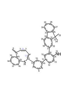 C=C1/C=C\C=C(\c2cccc(-c3ccc(N)c(-c4ccc5c(c4)C(C)(C)c4ccccc4-5)c3)c2)Sc2ccccc21